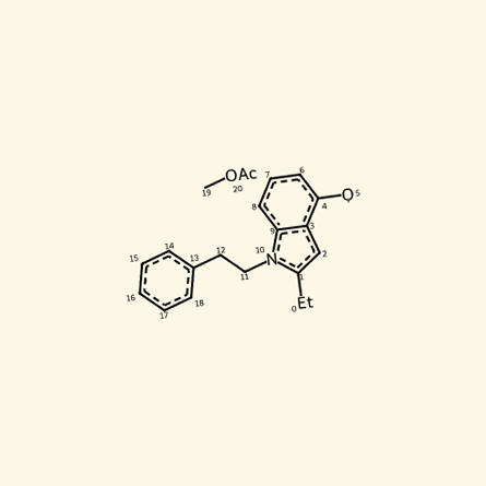 CCc1cc2c([O])cccc2n1CCc1ccccc1.COC(C)=O